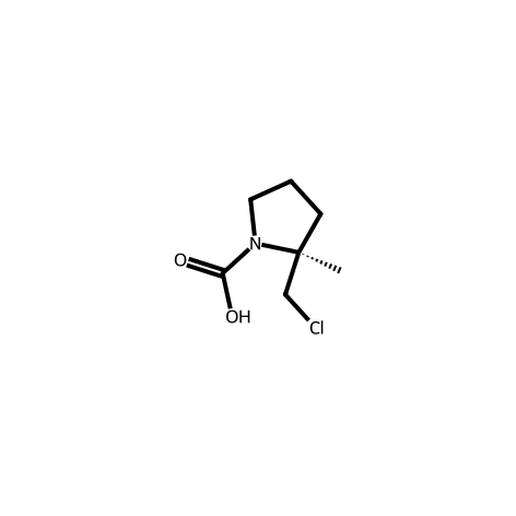 C[C@@]1(CCl)CCCN1C(=O)O